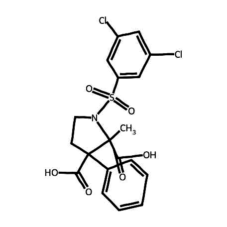 CC1(C(=O)O)N(S(=O)(=O)c2cc(Cl)cc(Cl)c2)CCC1(C(=O)O)c1ccccc1